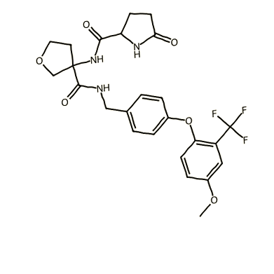 COc1ccc(Oc2ccc(CNC(=O)C3(NC(=O)C4CCC(=O)N4)CCOC3)cc2)c(C(F)(F)F)c1